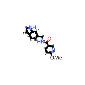 COc1ccc(C(=O)NCc2ccc3cc[nH]c3c2)cn1